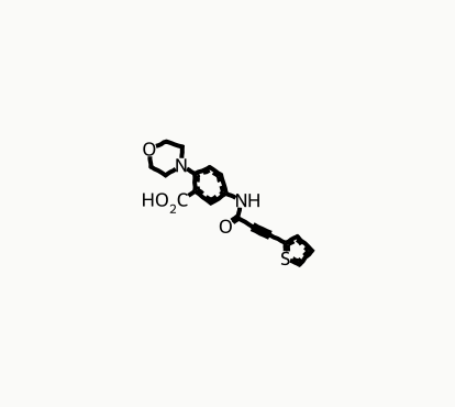 O=C(C#Cc1cccs1)Nc1ccc(N2CCOCC2)c(C(=O)O)c1